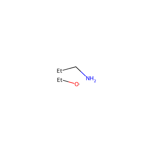 CCCN.CC[O]